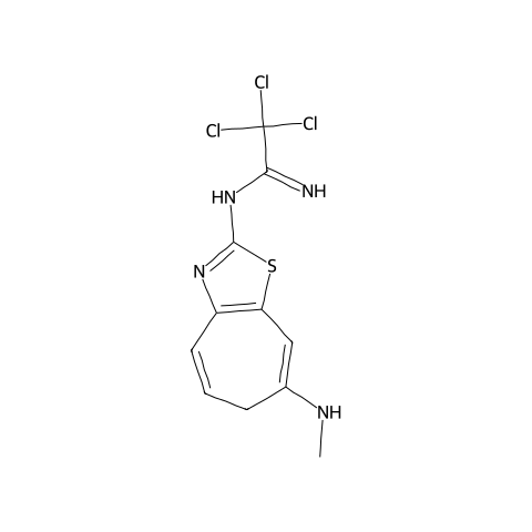 CNC1=Cc2sc(NC(=N)C(Cl)(Cl)Cl)nc2C=CC1